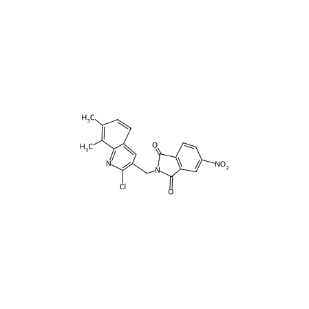 Cc1ccc2cc(CN3C(=O)c4ccc([N+](=O)[O-])cc4C3=O)c(Cl)nc2c1C